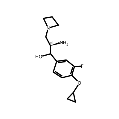 N[C@H](CN1CCC1)C(O)c1ccc(OC2CC2)c(F)c1